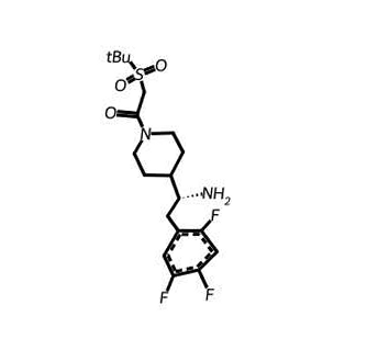 CC(C)(C)S(=O)(=O)CC(=O)N1CCC([C@H](N)Cc2cc(F)c(F)cc2F)CC1